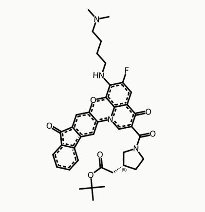 CN(C)CCCCNc1c(F)cc2c(=O)c(C(=O)N3CC[C@H](CC(=O)OC(C)(C)C)C3)cn3c4cc5c(cc4oc1c23)c(=O)c1ccccc15